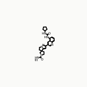 CCNC(=O)N1CCC2(CCn3nc(-c4cnc5cccc(NC(=O)NC6CCCC6)c5c4)cc32)C1